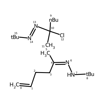 C=CCCC(C)=NNC(C)(C)C.CCCCC(C)(Cl)N=NC(C)(C)C